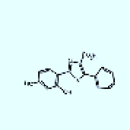 O=C(O)c1nc(-c2ccc(O)cc2O)sc1-c1ccccc1